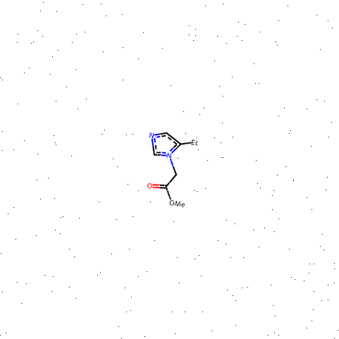 CCc1cncn1CC(=O)OC